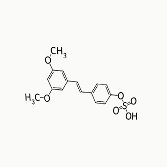 COc1cc(/C=C/c2ccc(OS(=O)(=O)O)cc2)cc(OC)c1